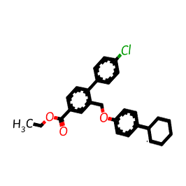 CCOC(=O)c1ccc(-c2ccc(Cl)cc2)c(COc2ccc(C3[CH]CCCC3)cc2)c1